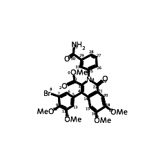 COC(=O)c1c(-c2cc(Br)c(OC)c(OC)c2)c2cc(OC)c(OC)cc2c(=O)n1-c1cccc(C(N)=O)c1